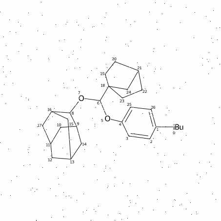 CCC(C)c1ccc(OC(OC2C3CC4CC(C3)CC2C4)C23CCC(CC2)C3)cc1